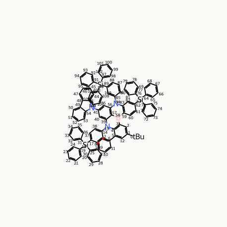 CC(C)(C)c1cc2c(c(-c3ccccc3)c1)N(c1ccc([Si](c3ccccc3)(c3ccccc3)c3ccccc3)cc1)c1cc(-n3c4ccccc4c4ccccc43)cc3c1B2c1ccc([Si](c2ccccc2)(c2ccccc2)c2ccccc2)cc1N3c1cccc([Si](c2ccccc2)(c2ccccc2)c2ccccc2)c1